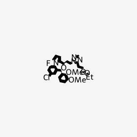 CCOOCCc1ncnn1CC[C@H]1O[C@H](c2cccc(OC)c2OC)c2cc(Cl)cc(F)c2-n2cccc21